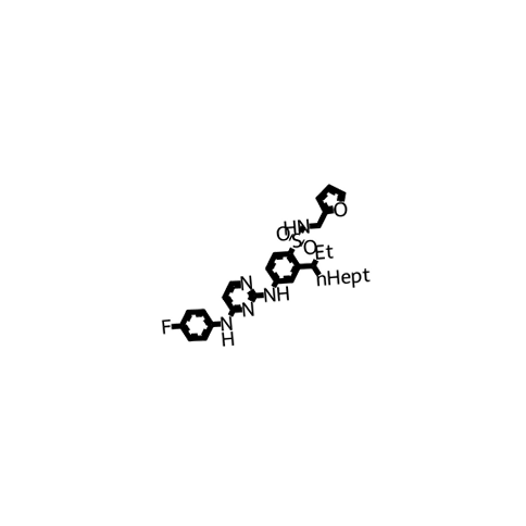 CCCCCCCC(CC)c1cc(Nc2nccc(Nc3ccc(F)cc3)n2)ccc1S(=O)(=O)NCc1ccco1